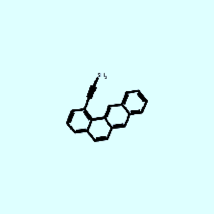 [SiH3]C#Cc1cccc2ccc3cc4ccccc4cc3c12